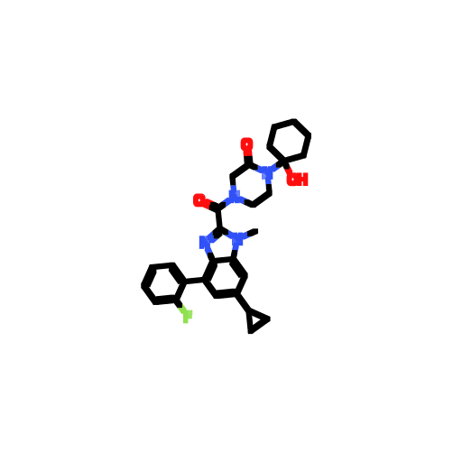 Cn1c(C(=O)N2CCN(C3(O)CCCCC3)C(=O)C2)nc2c(-c3ccccc3F)cc(C3CC3)cc21